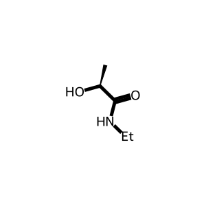 CCNC(=O)[C@H](C)O